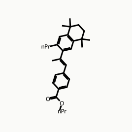 CCCOC(=O)c1ccc(C=C(C)c2cc3c(cc2CCC)C(C)(C)CCC3(C)C)cc1